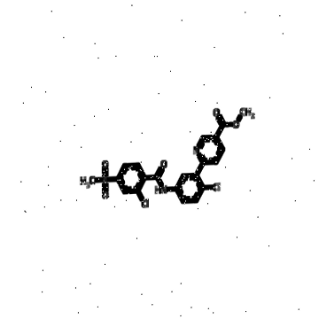 COC(=O)c1ccc(-c2cc(NC(=O)c3ccc(S(C)(=O)=O)cc3Cl)ccc2Cl)nc1